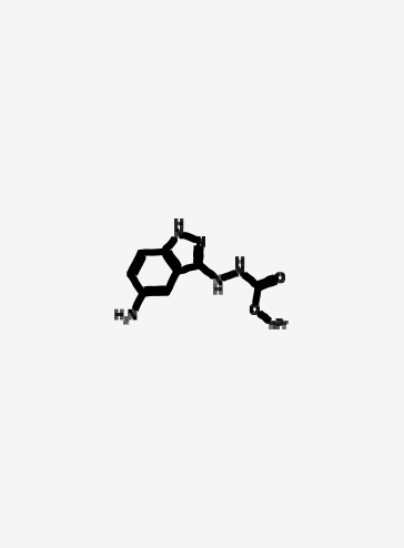 CCCOC(=O)NNc1n[nH]c2ccc(N)cc12